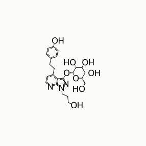 OCCCn1nc(O[C@@H]2O[C@H](CO)[C@@H](O)[C@H](O)[C@H]2O)c2c(CCc3ccc(O)cc3)ccnc21